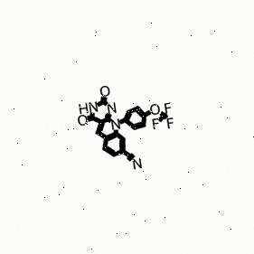 N#Cc1ccc2cc3c(=O)[nH]c(=O)nc-3n(-c3ccc(OC(F)(F)F)cc3)c2c1